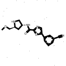 COC[C@@H]1C[C@@H](NC(=O)c2ncc(-c3cccc(C#N)c3)o2)CN1